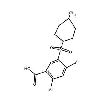 CC1CCN(S(=O)(=O)c2cc(C(=O)O)c(Br)cc2Cl)CC1